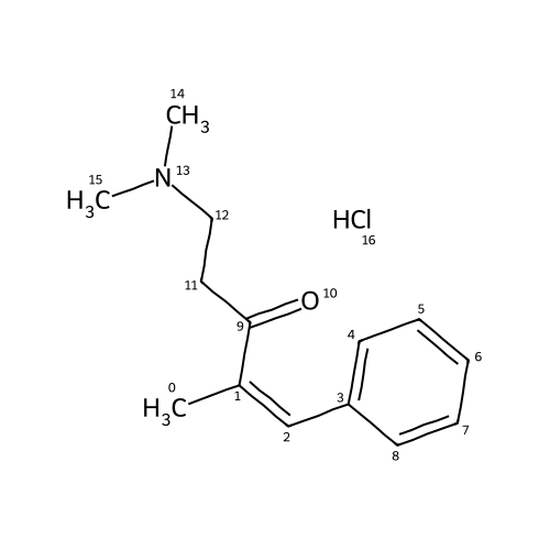 CC(=Cc1ccccc1)C(=O)CCN(C)C.Cl